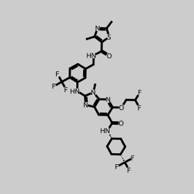 Cc1nc(C)c(C(=O)NCc2ccc(C(F)(F)F)c(Nc3nc4cc(C(=O)N[C@H]5CC[C@@H](C(F)(F)F)CC5)c(OCC(F)F)nc4n3C)c2)s1